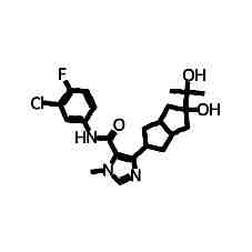 Cn1cnc(C2CC3CC(O)(C(C)(C)O)CC3C2)c1C(=O)Nc1ccc(F)c(Cl)c1